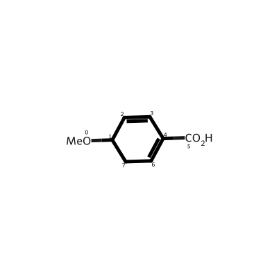 COC1C=CC(C(=O)O)=CC1